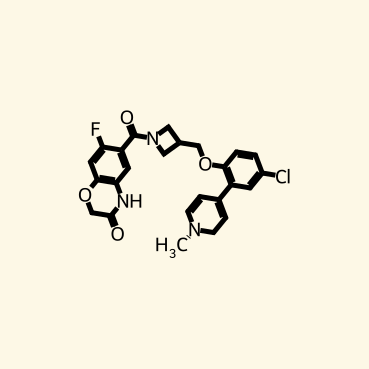 CN1C=CC(c2cc(Cl)ccc2OCC2CN(C(=O)c3cc4c(cc3F)OCC(=O)N4)C2)=CC1